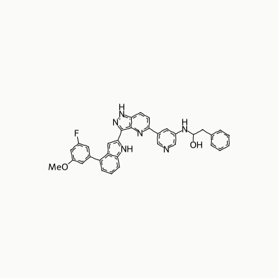 COc1cc(F)cc(-c2cccc3[nH]c(-c4n[nH]c5ccc(-c6cncc(NC(O)Cc7ccccc7)c6)nc45)cc23)c1